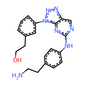 NCCc1ccc(Nc2ncc3nnn(-c4cccc(CCO)c4)c3n2)cc1